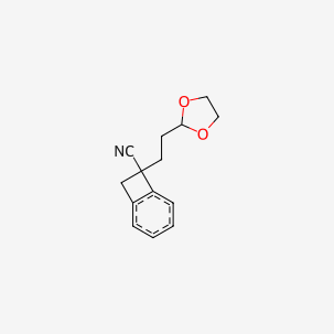 N#CC1(CCC2OCCO2)Cc2ccccc21